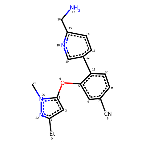 CCc1cc(Oc2cc(C#N)ccc2-c2ccc(CN)nc2)n(C)n1